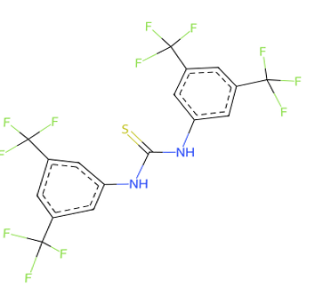 FC(F)(F)c1cc(NC(=S)Nc2cc(C(F)(F)F)cc(C(F)(F)F)c2)cc(C(F)(F)F)c1